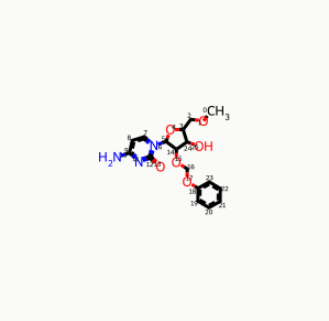 COCC1OC(n2ccc(N)nc2=O)C(OCOc2ccccc2)C1O